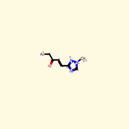 CC(=O)CC(=O)/C=C/c1ncn(C)n1